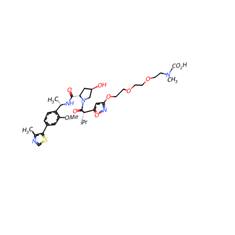 COc1cc(-c2scnc2C)ccc1[C@H](C)NC(=O)[C@@H]1C[C@@H](O)CN1C(=O)[C@H](c1cc(OCCOCCOCCN(C)C(=O)O)no1)C(C)C